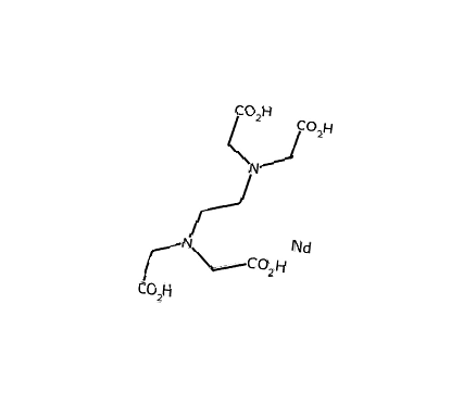 O=C(O)CN(CCN(CC(=O)O)CC(=O)O)CC(=O)O.[Nd]